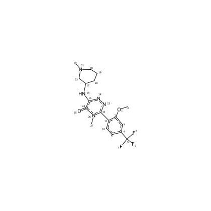 COc1cc(C(F)(F)F)ccc1-c1nnc(NC2CCCN(C)C2)c(=O)n1C